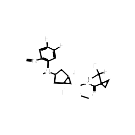 C=Nc1cc(F)c(F)cc1N(C)C1C[C@@H]2[C@H](C1)[C@H]2[C@@H](CC)NC(=O)C1(C(F)(F)F)CC1